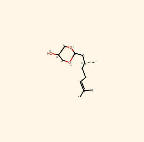 CC(C)=CCC[C@@H](C)CC1OCC(O)CO1